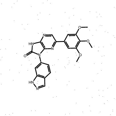 COc1cc(-c2cnc3[nH]c(=O)n(-c4ccc5cn[nH]c5c4)c3n2)cc(OC)c1OC